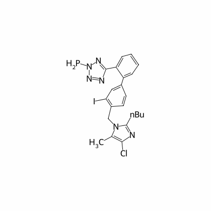 CCCCc1nc(Cl)c(C)n1Cc1ccc(-c2ccccc2-c2nnn(P)n2)cc1I